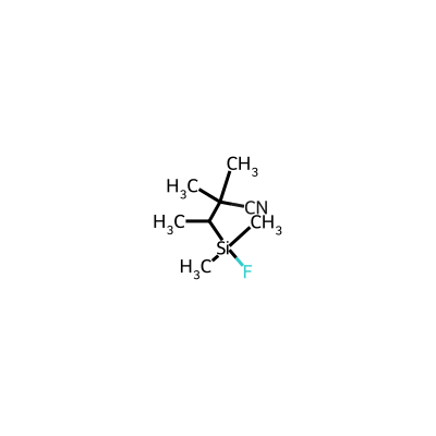 CC(C(C)(C)C#N)[Si](C)(C)F